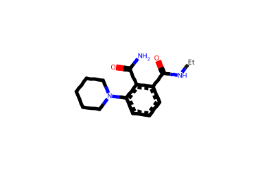 CCNC(=O)c1cccc(N2CCCCC2)c1C(N)=O